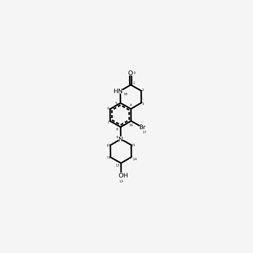 O=C1CCc2c(ccc(N3CCC(O)CC3)c2Br)N1